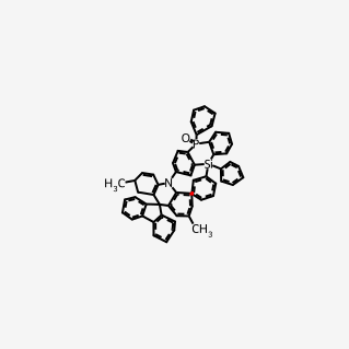 Cc1ccc2c(c1)C1(C3=C(C=CC(C)C3)N2c2ccc3c(c2)[Si](c2ccccc2)(c2ccccc2)c2ccccc2P3(=O)c2ccccc2)c2ccccc2-c2ccccc21